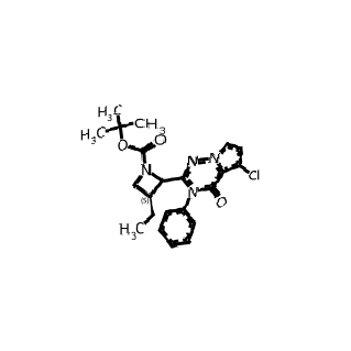 CC[C@H]1CN(C(=O)OC(C)(C)C)C1c1nn2ccc(Cl)c2c(=O)n1-c1ccccc1